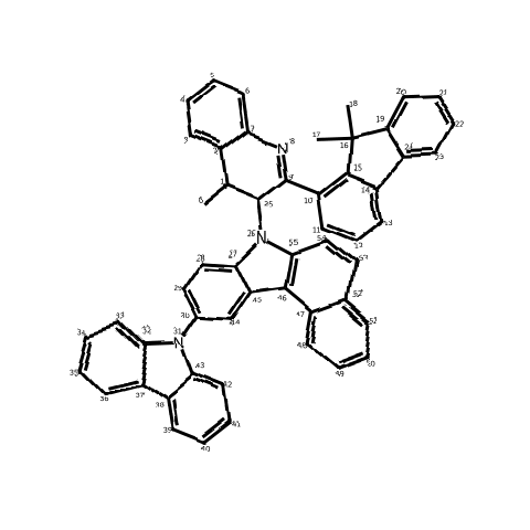 CC1c2ccccc2N=C(c2cccc3c2C(C)(C)c2ccccc2-3)C1n1c2ccc(-n3c4ccccc4c4ccccc43)cc2c2c3ccccc3ccc21